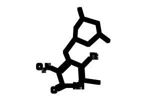 CCc1c(C)[nH]c(=O)c([N+](=O)[O-])c1CC1CC(C)CC(C)C1